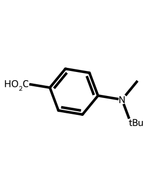 CN(c1ccc(C(=O)O)cc1)C(C)(C)C